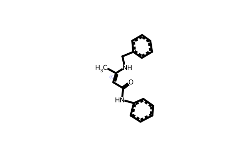 C/C(=C/C(=O)Nc1ccccc1)NCc1ccccc1